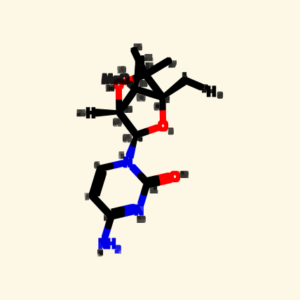 [2H]C[C@]12O[C@@H](n3ccc(N)nc3=O)[C@H](OC1(C)C)[C@@H]2OC